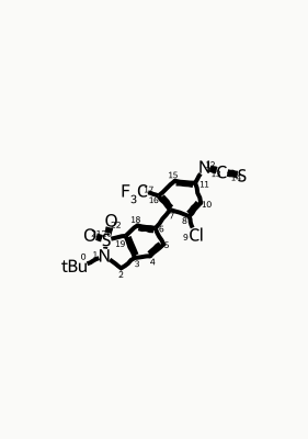 CC(C)(C)N1Cc2ccc(-c3c(Cl)cc(N=C=S)cc3C(F)(F)F)cc2S1(=O)=O